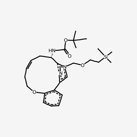 CC(C)(C)OC(=O)N[C@H]1CC=CCCOc2ccccc2-c2cn(COCC[Si](C)(C)C)c1n2